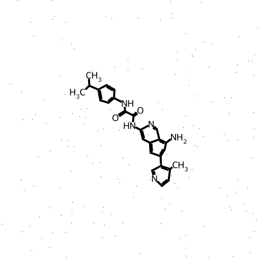 Cc1ccncc1-c1cc(N)c2cnc(NC(=O)C(=O)Nc3ccc(C(C)C)cc3)cc2c1